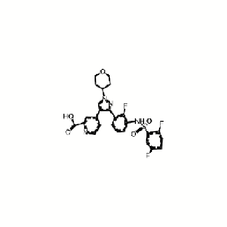 O=C(O)c1cc(-c2cn(C3CCOCC3)nc2-c2cccc(NS(=O)(=O)c3cc(F)ccc3F)c2F)ccn1